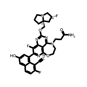 C#Cc1c(F)ccc2cc(O)cc(-c3nc4c5c(nc(OC[C@@]67CCCN6C[C@H](F)C7)nc5c3F)N(CCC(N)=O)CCO4)c12